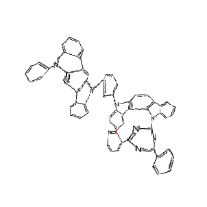 c1ccc(-c2nc(-c3ccccc3)nc(-n3c4ccccc4c4ccc5c(c6ccccc6n5-c5cccc(-n6c7ccccc7c7cc8c(cc76)c6ccccc6n8-c6ccccc6)c5)c43)n2)cc1